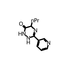 CCCC1N=C(c2cccnc2)NNC1=O